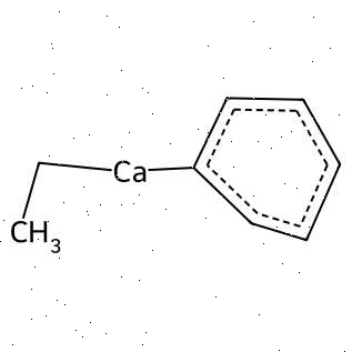 C[CH2][Ca][c]1ccccc1